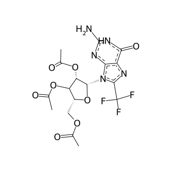 CC(=O)OC[C@H]1O[C@@H](n2c(C(F)(F)F)nc3c(=O)[nH]c(N)nc32)[C@@H](OC(C)=O)C1OC(C)=O